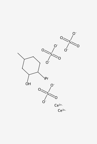 CC1CCC(C(C)C)C(O)C1.O=S(=O)([O-])[O-].O=S(=O)([O-])[O-].O=S(=O)([O-])[O-].[Ce+3].[Ce+3]